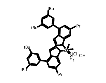 CC1=Cc2c(-c3cc(C(C)(C)C)cc(C(C)(C)C)c3)cc(C(C)C)cc2[CH]1[Zr]([CH3])([CH3])(=[SiH2])[CH]1C(C)=Cc2c(-c3cc(C(C)(C)C)cc(C(C)(C)C)c3)cc(C(C)C)cc21.Cl.Cl